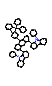 c1ccc(-n2c3ccccc3c3cccc(-c4cccc5c(-c6ccc7c(c6)C(c6ccccc6)(c6ccccc6)c6ccccc6-7)c6cccc(-c7cccc8c9ccccc9n(-c9ccccc9)c78)c6cc45)c32)cc1